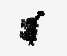 CN(C)c1cc(NC(=O)C2CN(C3C4CC5CC(C4)CC3C5)C2)c(O)c2c1C[C@H]1C[C@H]3[C@H](N(C)C)C(O)=C(C(N)=O)C(=O)[C@@]3(O)C(O)=C1C2=O